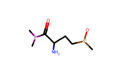 CP(C)C(=O)C(N)CC[S+](C)[O-]